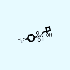 Cc1ccc(S(=O)(=O)NCC2(O)CCC2)cc1